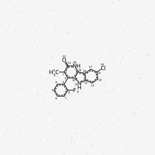 Cc1c(-c2ccccc2F)c2[nH]c3ccc(Cl)cc3c2[nH]c1=O